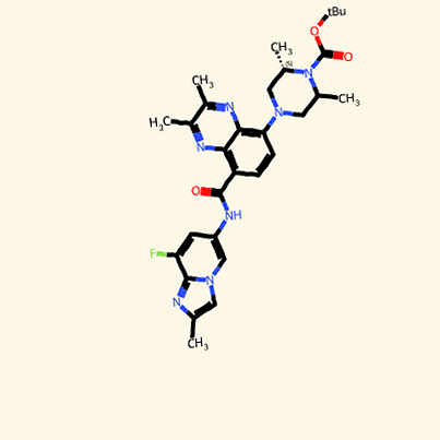 Cc1cn2cc(NC(=O)c3ccc(N4CC(C)N(C(=O)OC(C)(C)C)[C@@H](C)C4)c4nc(C)c(C)nc34)cc(F)c2n1